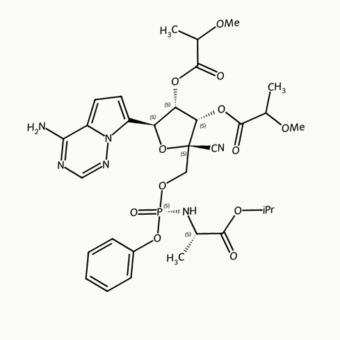 COC(C)C(=O)O[C@H]1[C@H](c2ccc3c(N)ncnn23)O[C@@](C#N)(CO[P@@](=O)(N[C@@H](C)C(=O)OC(C)C)Oc2ccccc2)[C@H]1OC(=O)C(C)OC